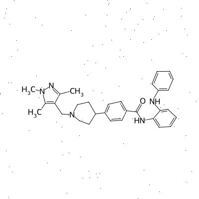 Cc1nn(C)c(C)c1CN1CCC(c2ccc(C(=O)Nc3ccccc3Nc3ccccc3)cc2)CC1